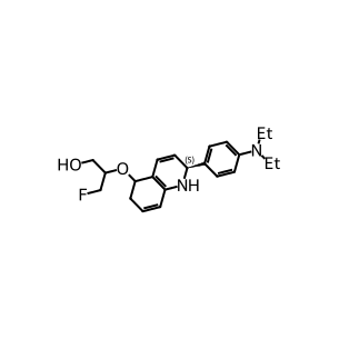 CCN(CC)c1ccc([C@@H]2C=CC3=C(C=CCC3OC(CO)CF)N2)cc1